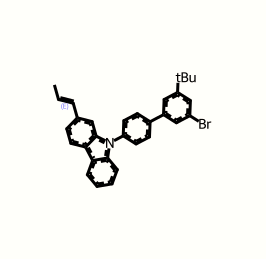 C/C=C/c1ccc2c3ccccc3n(-c3ccc(-c4cc(Br)cc(C(C)(C)C)c4)cc3)c2c1